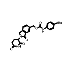 CC(C)(C)c1ccc(NC(=O)OCc2ccc3c(c2)C(=O)N(C2CCC(=O)NC2=O)C3)cc1